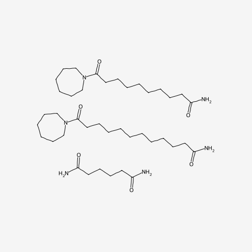 NC(=O)CCCCC(N)=O.NC(=O)CCCCCCCCC(=O)N1CCCCCC1.NC(=O)CCCCCCCCCCC(=O)N1CCCCCC1